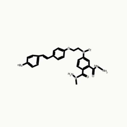 CCCCc1ccc(C=Cc2ccc(OCCN(CC)c3ccc(C(=O)N(C)N)c(C(=O)NN)c3)cc2)cc1